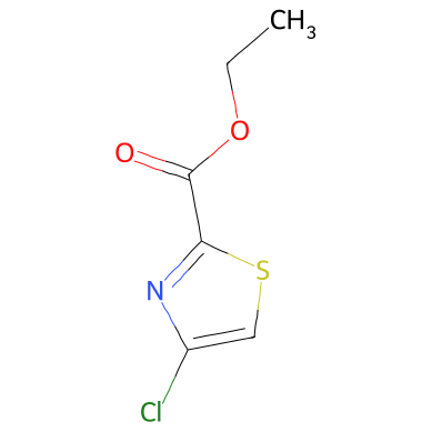 CCOC(=O)c1nc(Cl)cs1